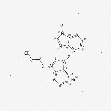 Cn1c[n+](CCCCl)c2ccccc21.Cn1cnc2ccccc21.[Br-]